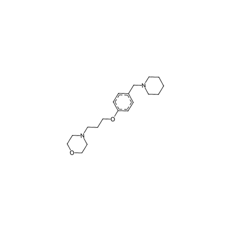 c1cc(OCCCN2CCOCC2)ccc1CN1CCCCC1